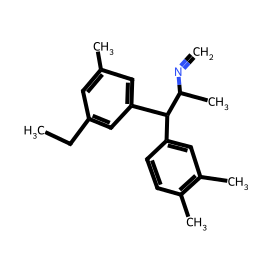 C=NC(C)C(c1cc(C)cc(CC)c1)c1ccc(C)c(C)c1